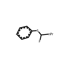 CCCC(F)Sc1cc[c]cc1